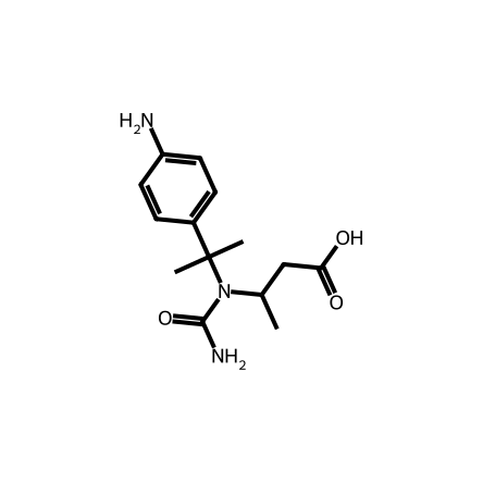 CC(CC(=O)O)N(C(N)=O)C(C)(C)c1ccc(N)cc1